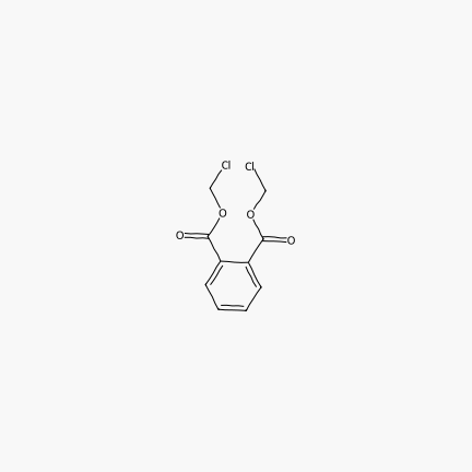 O=C(OCCl)c1ccccc1C(=O)OCCl